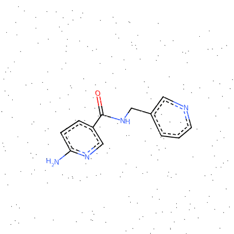 Nc1ccc(C(=O)NCc2cccnc2)cn1